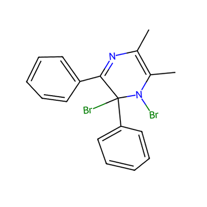 CC1=C(C)N(Br)C(Br)(c2ccccc2)C(c2ccccc2)=N1